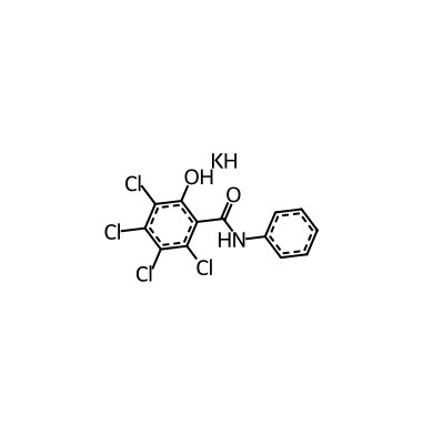 O=C(Nc1ccccc1)c1c(O)c(Cl)c(Cl)c(Cl)c1Cl.[KH]